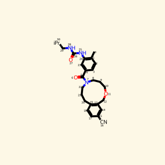 Cc1ccc(C(=O)N2CCCOCc3cc(C#N)ccc3CCC2)cc1NC(=O)NCC(C)C